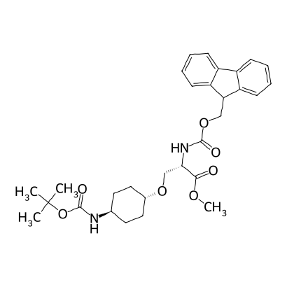 COC(=O)[C@H](CO[C@H]1CC[C@H](NC(=O)OC(C)(C)C)CC1)NC(=O)OCC1c2ccccc2-c2ccccc21